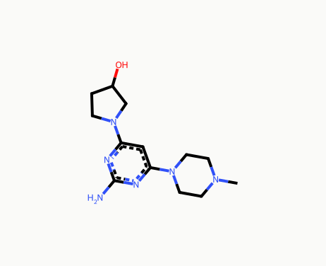 CN1CCN(c2cc(N3CCC(O)C3)nc(N)n2)CC1